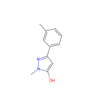 Cc1cccc(-c2cc(O)n(C)n2)c1